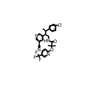 CC(c1ccc(Cl)cc1)C(CNC(=O)C(C)(C)Oc1ccc(C(F)(F)F)cn1)c1cncc(C#N)c1